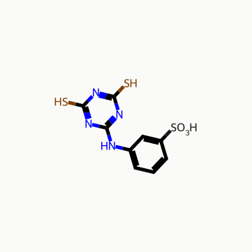 O=S(=O)(O)c1cccc(Nc2nc(S)nc(S)n2)c1